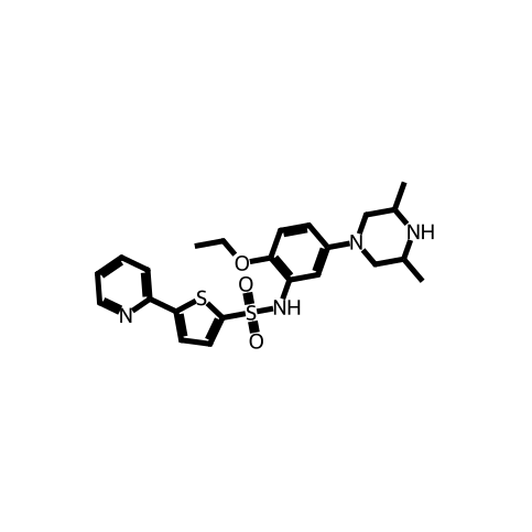 CCOc1ccc(N2CC(C)NC(C)C2)cc1NS(=O)(=O)c1ccc(-c2ccccn2)s1